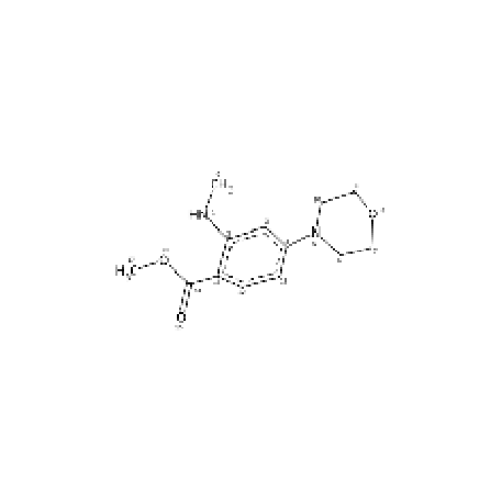 CNc1cc(N2CCOCC2)ccc1C(=O)OC